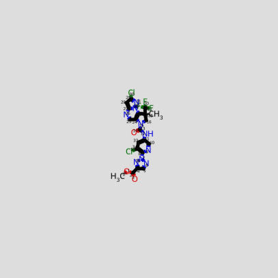 COC(=O)c1cnn(-c2ncc(NC(=O)N3C[C@@](C)(C(F)(F)F)c4c3cnc3cc(Cl)nn43)cc2Cl)n1